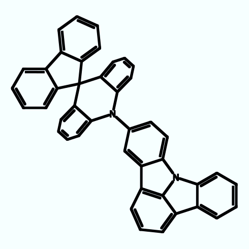 c1ccc2c(c1)-c1ccccc1C21c2ccccc2N(c2ccc3c(c2)c2cccc4c5ccccc5n3c42)c2ccccc21